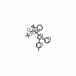 Cc1ccc(-c2cc(C(=O)N3CCCCC3C3(NC(=O)OC(C)(C)C)CC3)nn2-c2cccnc2)nc1